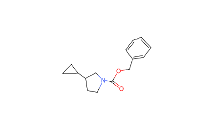 O=C(OCc1ccccc1)N1CCC(C2CC2)C1